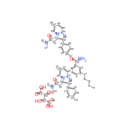 CCCCCc1cccc(C(N)=O)c1.Cc1ccc(-c2nc3ccc(C)cn3c2CC(=O)N(C)C)cc1.Cc1ccc(-c2nc3ccc(C)cn3c2CC(=O)N(C)C)cc1.O=C(O)C(O)C(O)C(=O)O